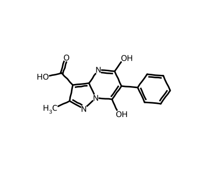 Cc1nn2c(O)c(-c3ccccc3)c(O)nc2c1C(=O)O